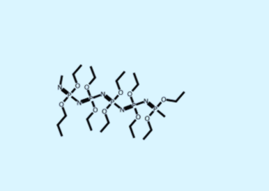 CCCOP(=NC)(N=P(N=P(N=P(N=P(C)(OCC)OCC)(OCC)OCC)(OCC)OCC)(OCC)OCC)OCC